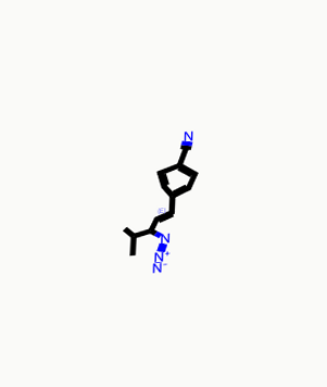 CC(C)C(/C=C/c1ccc(C#N)cc1)N=[N+]=[N-]